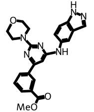 COC(=O)c1cccc(-c2cc(Nc3ccc4[nH]ncc4c3)nc(N3CCOCC3)n2)c1